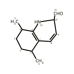 CC1CCC(C)C2=C1C=CC(C=O)N2